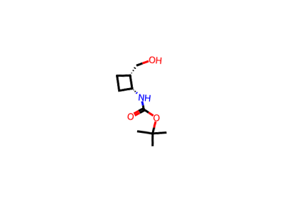 CC(C)(C)OC(=O)N[C@@H]1CC[C@@H]1CO